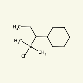 CCC([C]1CCCCC1)[Si](C)(C)Cl